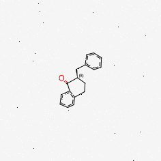 O=C1c2ccccc2CC[C@@H]1Cc1ccccc1